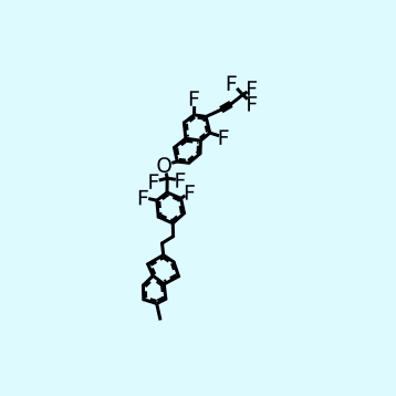 Cc1ccc2cc(CCc3cc(F)c(C(F)(F)Oc4ccc5c(F)c(C#CC(F)(F)F)c(F)cc5c4)c(F)c3)ccc2c1